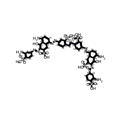 Nc1cc(N=Nc2c(S(=O)(=O)O)cc3c(N=Nc4ccc(/C=C/c5ccc(N=Nc6ccc(N)c7c(O)c(N=Nc8ccc(S(=O)(=O)O)c(N)c8)c(S(=O)(=O)O)cc67)cc5S(=O)(=O)O)c(S(=O)(=O)O)c4)ccc(N)c3c2O)ccc1S(=O)(=O)O